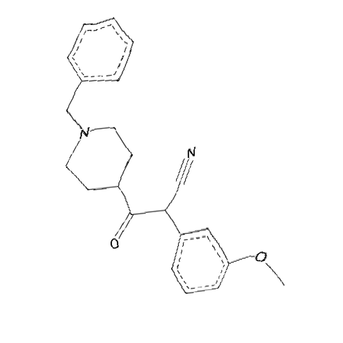 COc1cccc(C(C#N)C(=O)C2CCN(Cc3ccccc3)CC2)c1